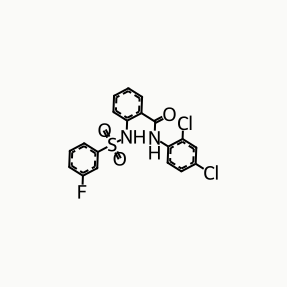 O=C(Nc1ccc(Cl)cc1Cl)c1ccccc1NS(=O)(=O)c1cccc(F)c1